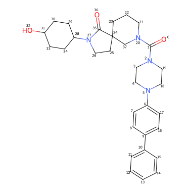 O=C(N1CCN(c2ccc(-c3ccccc3)cc2)CC1)N1CCCC2(CCN(C3CCC(O)CC3)C2=O)C1